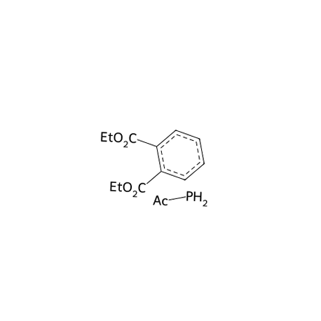 CC(=O)P.CCOC(=O)c1ccccc1C(=O)OCC